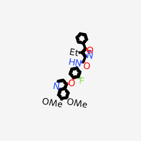 CCc1c(C(=O)Nc2ccc(Oc3ccnc4cc(OC)c(OC)cc34)c(F)c2)noc1-c1ccccc1